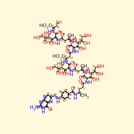 C[C@H](CCC(=O)N[C@H](C(=O)N[C@H](C)CC(=O)N[C@H](C(=O)N[C@@H](CC(=O)N[C@H](C(=O)N[C@H](C)CC(=O)N[C@H](C(=O)N[C@@H](CS)C(=O)O)[C@@H](O)C(O)[C@H](O)CO)[C@@H](O)[C@H](O)[C@H](O)CO)C(=O)O)[C@@H](O)C(O)[C@H](O)CO)[C@@H](O)[C@H](O)[C@H](O)CO)NC(=O)c1ccc(NCc2cnc3nc(N)[nH]c(=O)c3n2)cc1